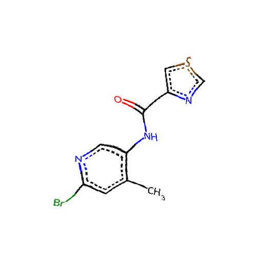 Cc1cc(Br)ncc1NC(=O)c1cscn1